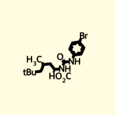 CC(C[C@@H](NC(=O)Nc1ccc(Br)cc1)C(=O)O)CC(C)(C)C